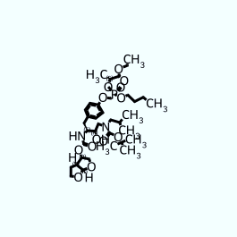 CCCCOP(=O)(COc1ccc(C[C@H](NC(=O)O[C@H]2CO[C@H]3OCC[C@H]32)[C@H](O)CN(CC(C)C)C(=O)OC(C)(C)C)cc1)O[C@@H](C)C(=O)OCC